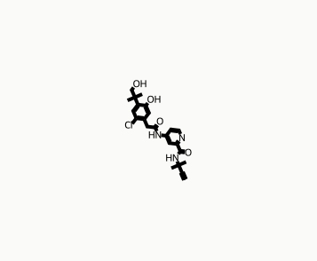 C#CC(C)(C)NC(=O)c1cc(NC(=O)Cc2cc(O)c(C(C)(C)CO)cc2Cl)ccn1